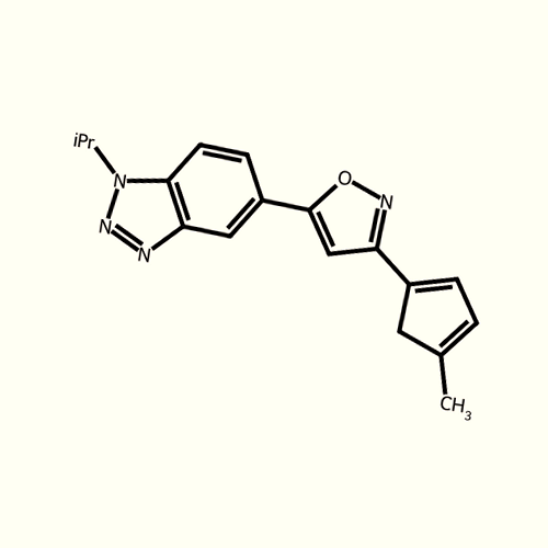 CC1=CC=C(c2cc(-c3ccc4c(c3)nnn4C(C)C)on2)C1